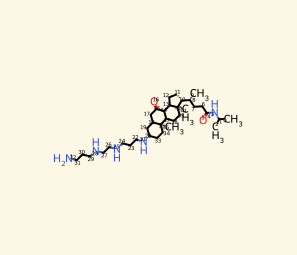 CC(C)NC(=O)CC[C@@H](C)[C@H]1CCC2C3C(=O)CC4C[C@@H](NCCCNCCNCCCN)CC[C@]4(C)C3CC[C@@]21C